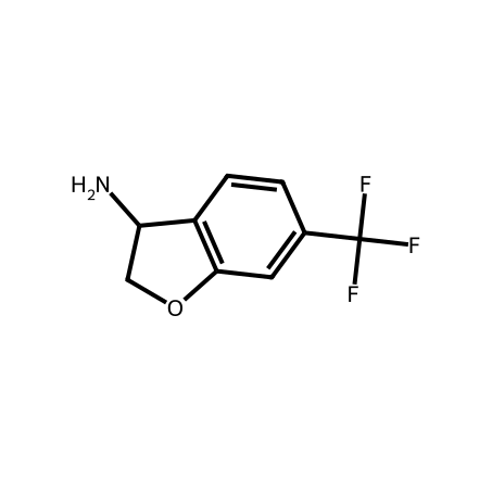 NC1COc2cc(C(F)(F)F)ccc21